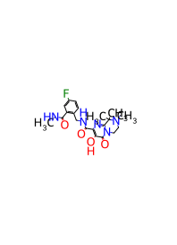 CNC(=O)c1cc(F)ccc1CNC(=O)c1nc2n(c(=O)c1O)CCN(C)C2(C)C